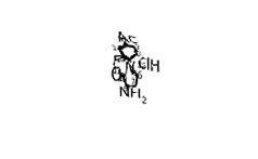 CC(=O)c1ccc(N2CC[C@H](N)C2=O)c(F)c1.Cl